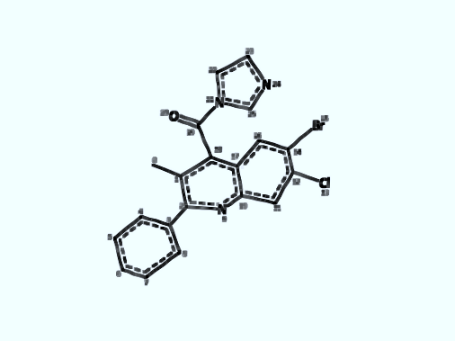 Cc1c(-c2ccccc2)nc2cc(Cl)c(Br)cc2c1C(=O)n1ccnc1